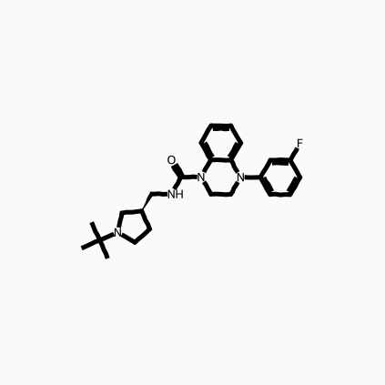 CC(C)(C)N1CC[C@H](CNC(=O)N2CCN(c3cccc(F)c3)c3ccccc32)C1